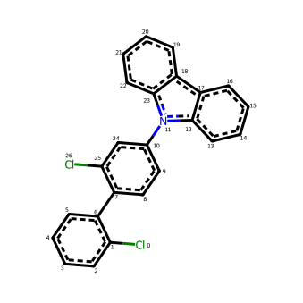 Clc1ccccc1-c1ccc(-n2c3ccccc3c3ccccc32)cc1Cl